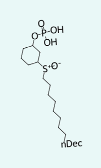 CCCCCCCCCCCCCCCCCC[S+]([O-])C1CCCC(OP(=O)(O)O)C1